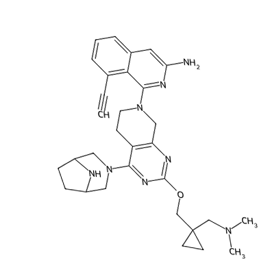 C#Cc1cccc2cc(N)nc(N3CCc4c(nc(OCC5(CN(C)C)CC5)nc4N4CC5CCC(C4)N5)C3)c12